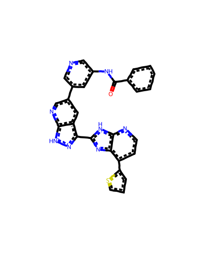 O=C(Nc1cncc(-c2cnc3[nH]nc(-c4nc5c(-c6cccs6)ccnc5[nH]4)c3c2)c1)c1ccccc1